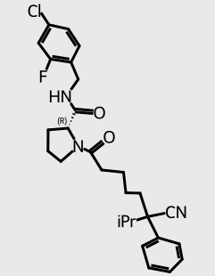 CC(C)C(C#N)(CCCCC(=O)N1CCC[C@@H]1C(=O)NCc1ccc(Cl)cc1F)c1ccccc1